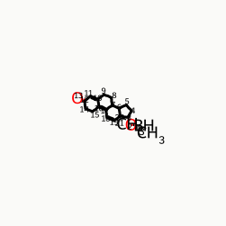 CBOC1CCC2C3CCC4=CC(=O)CCC4=C3C=CC12C